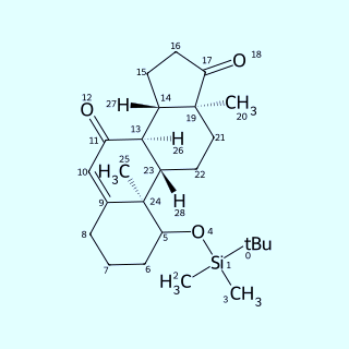 CC(C)(C)[Si](C)(C)OC1CCCC2=CC(=O)[C@H]3[C@@H]4CCC(=O)[C@@]4(C)CC[C@@H]3[C@]21C